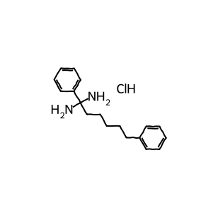 Cl.NC(N)(CCCCCc1ccccc1)c1ccccc1